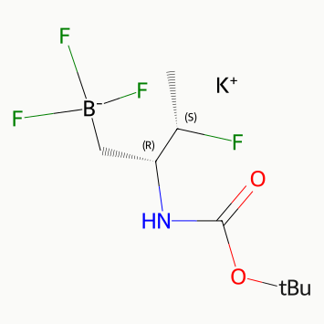 C[C@H](F)[C@@H](C[B-](F)(F)F)NC(=O)OC(C)(C)C.[K+]